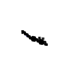 CCOc1ccc(CCc2ccc(CC/C=C/CCF)cc2)c(F)c1F